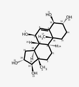 C[C@]12CC[C@H]3[C@@H]([C@@H](O)C=C4[C@@H](O)[C@H](O)CC[C@@]43C)[C@@H]1C[C@@H](O)[C@@H]2O